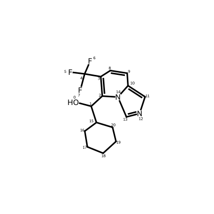 OC(c1c(C(F)(F)F)ccc2cncn12)C1CCCCC1